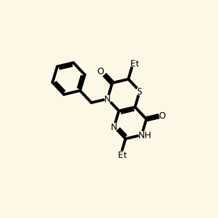 CCc1nc2c(c(=O)[nH]1)SC(CC)C(=O)N2Cc1ccccc1